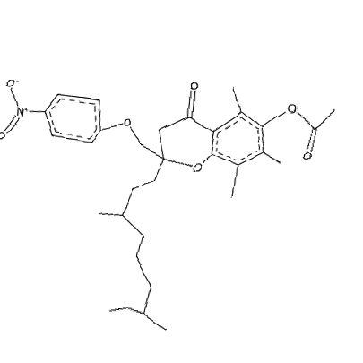 CC(=O)Oc1c(C)c(C)c2c(c1C)C(=O)CC(CCC(C)CCCC(C)C)(COc1ccc([N+](=O)[O-])cc1)O2